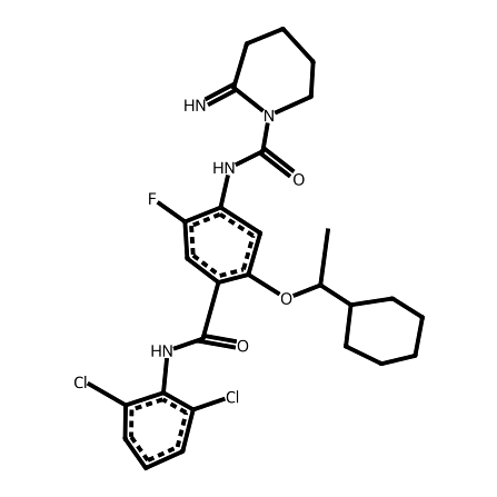 CC(Oc1cc(NC(=O)N2CCCCC2=N)c(F)cc1C(=O)Nc1c(Cl)cccc1Cl)C1CCCCC1